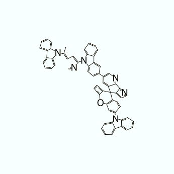 C=N/C(=C\C=C(/C)n1c2ccccc2c2ccccc21)n1c2ccccc2c2cc(-c3cnc4c(c3)C3(c5ccccc5Oc5cc(-n6c7ccccc7c7ccccc76)ccc53)c3cccnc3-4)ccc21